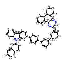 c1cc(-c2ccc(-c3ccc4c5ccccc5n(-c5ccc6ccccc6c5)c4c3)cc2)cc(-c2cccc(-c3cnc4c5ccccc5c5ccccc5c4n3)c2)c1